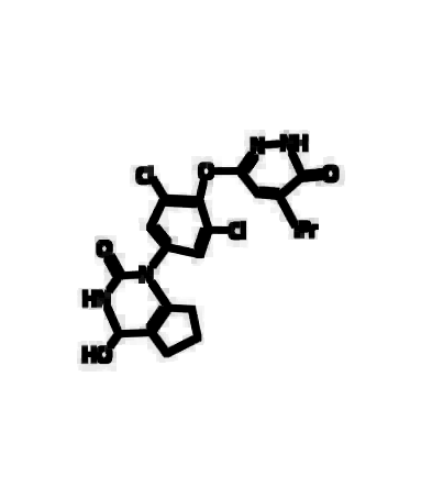 CC(C)c1cc(Oc2c(Cl)cc(N3C(=O)NC(O)C4=C3CCC4)cc2Cl)n[nH]c1=O